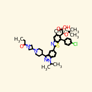 CCC(=O)N1CC(N2CCC(c3nn(C(C)C)c4ccc(-c5nc6cc(C)c([C@H](OC(C)(C)C)C(=O)O)c(-c7ccc(Cl)cc7)c6s5)cc34)CC2)C1